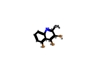 Cc1nc2cccc(Br)c2c(Br)c1Br